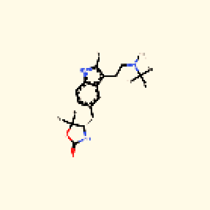 [2H]c1[nH]c2ccc(C[C@@H]3NC(=O)OC3([2H])[2H])cc2c1CCN(C)C([2H])([2H])[2H]